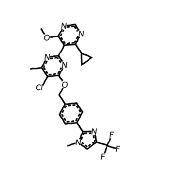 COc1ncnc(C2CC2)c1-c1nc(C)c(Cl)c(OCc2ccc(-c3nc(C(F)(F)F)cn3C)cc2)n1